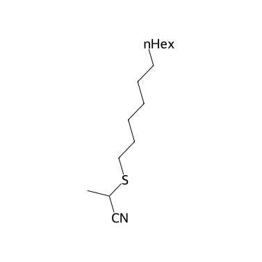 CCCCCCCCCCCCSC(C)C#N